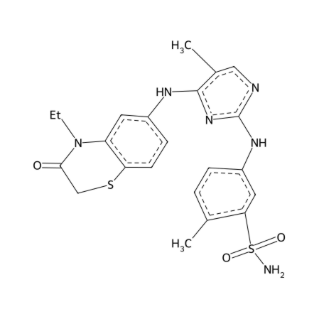 CCN1C(=O)CSc2ccc(Nc3nc(Nc4ccc(C)c(S(N)(=O)=O)c4)ncc3C)cc21